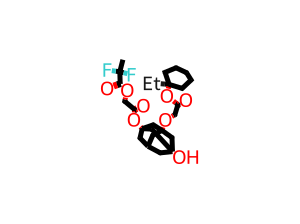 CCC1(OC(=O)COC23CC4CC(O)(C2)CC(OC(=O)COC(=O)C(C)(F)F)(C4)C3)CCCCC1